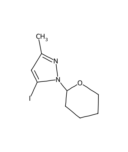 Cc1cc(I)n(C2CCCCO2)n1